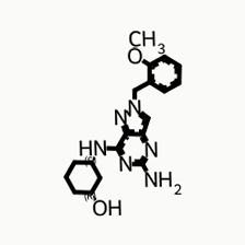 COc1ccccc1Cn1cc2nc(N)nc(N[C@H]3CCC[C@@H](O)C3)c2n1